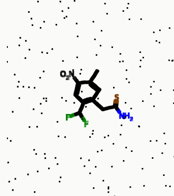 Cc1cc(CC(N)=S)c(C(F)F)cc1[N+](=O)[O-]